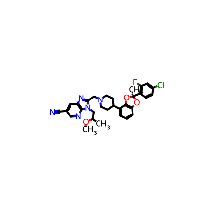 COC(C)Cn1c(CN2CCC(c3cccc4c3O[C@@](C)(c3ccc(Cl)cc3F)O4)CC2)nc2cc(C#N)cnc21